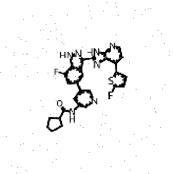 O=C(Nc1cncc(-c2cc(F)c3[nH]nc(-c4nc5c(-c6ccc(F)s6)ccnc5[nH]4)c3c2)c1)C1CCCC1